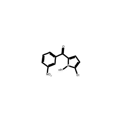 CCCn1c(CC)ccc1C(=O)c1cccc([N+](=O)[O-])c1